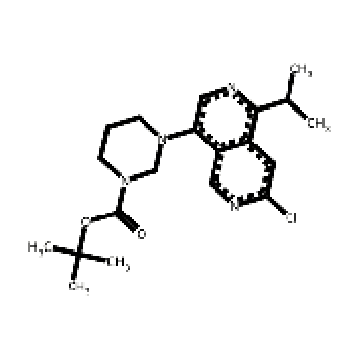 CC(C)c1ncc(N2CCCN(C(=O)OC(C)(C)C)C2)c2cnc(Cl)cc12